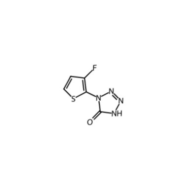 O=c1[nH]nnn1-c1sccc1F